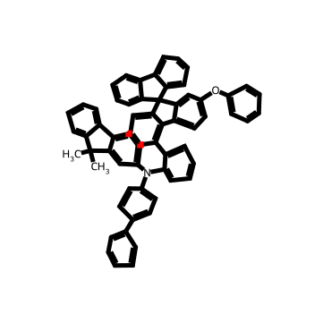 CC1(C)c2ccccc2-c2ccc(N(c3ccc(-c4ccccc4)cc3)c3ccccc3-c3cccc4c3-c3ccc(Oc5ccccc5)cc3C43c4ccccc4-c4ccccc43)cc21